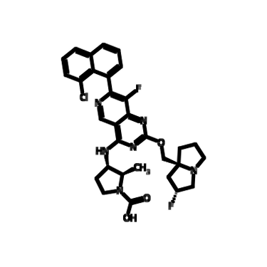 C[C@@H]1[C@H](Nc2nc(OC[C@@]34CCCN3C[C@H](F)C4)nc3c(F)c(-c4cccc5cccc(Cl)c45)ncc23)CCN1C(=O)O